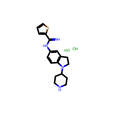 Cl.Cl.N=C(Nc1ccc2c(c1)CCN2C1CCNCC1)c1cccs1